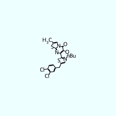 CCCCOc1c(-c2ncc(Cc3ccc(Cl)c(Cl)c3)s2)nc2sc(C)cn2c1=O